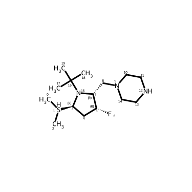 C[SH](C)[C@@H]1C[C@@H](F)[C@@H](CN2CCNCC2)N1C(C)(C)C